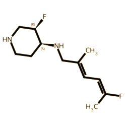 C/C(F)=C\C=C(/C)CN[C@H]1CCNC[C@H]1F